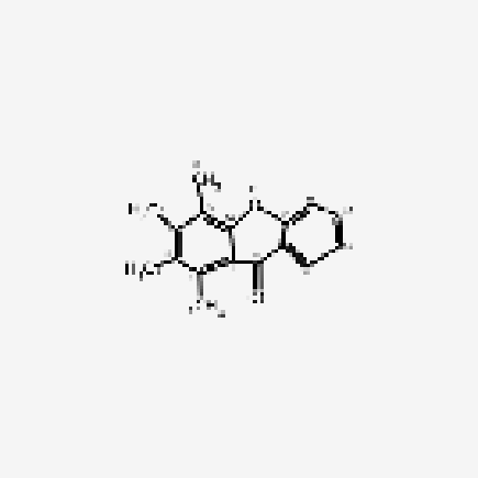 Cc1c(C)c(C)c2c(=O)c3ccccc3oc2c1C